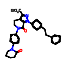 CCOC(=O)c1nn(-c2ccc(CCc3ccccc3)cc2)c2c1CCN(c1ccc(N3CCCCC3=O)cc1)C2=O